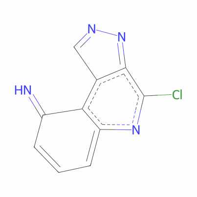 N=C1C=CC=c2nc(Cl)c3c(c21)C=NN=3